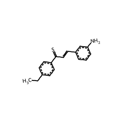 CCc1ccc(C(=S)C=Cc2cccc(N)c2)cc1